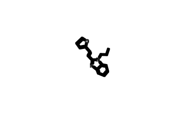 CCCn1c(/C=C/c2ccco2)nc2ccccc21